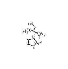 CC(C)(SS)C1CCCN1